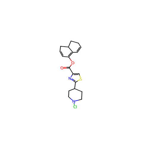 O=C(OC1=C2C=CCCC2CC=C1)c1csc(C2CCN(Cl)CC2)n1